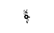 CCOc1ccc(OC(F)(F)F)cc1C